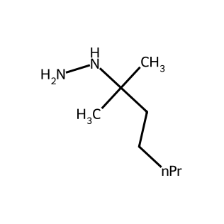 CCCCCC(C)(C)NN